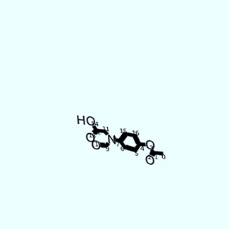 CC(=O)Oc1ccc(N(C=O)CC(=O)O)cc1